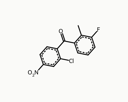 Cc1c(F)cccc1C(=O)c1ccc([N+](=O)[O-])cc1Cl